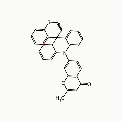 Cc1cc(=O)c2ccc(N3c4ccccc4C4(c5ccccc5Sc5ccccc54)c4ccccc43)cc2o1